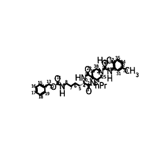 CCCN1C(=O)[C@H](CCCCNC(=O)OCc2ccccc2)NC(=O)C12CCN(C(=O)Nc1cc(C)ccc1C)CC2